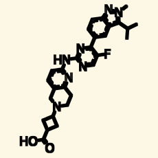 CC(C)c1c2cc(-c3nc(Nc4ccc5c(n4)CCN(C4CC(C(=O)O)C4)C5)ncc3F)ccc2nn1C